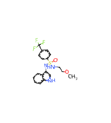 COCCNS(=O)(=Nc1c[nH]c2ccccc12)c1ccc(C(F)(F)F)cc1